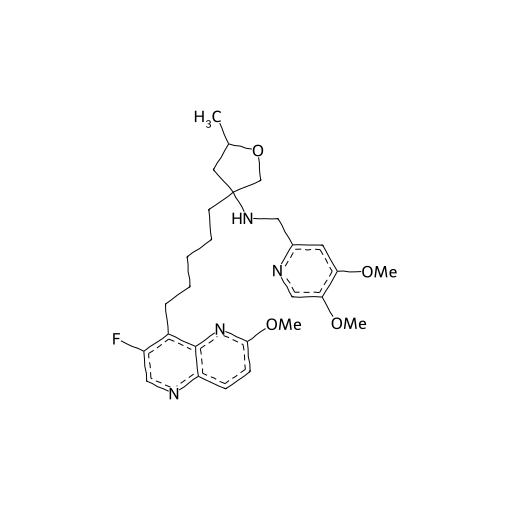 COc1ccc2ncc(F)c(CCCCCC3(NCc4cc(OC)c(OC)cn4)COC(C)C3)c2n1